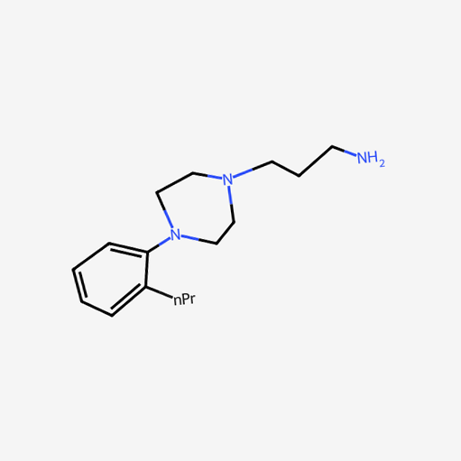 CCCc1ccccc1N1CCN(CCCN)CC1